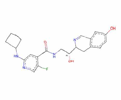 O=C(NC[C@@H](O)C1Cc2ccc(O)cc2C=N1)c1cc(NC2CCC2)ncc1F